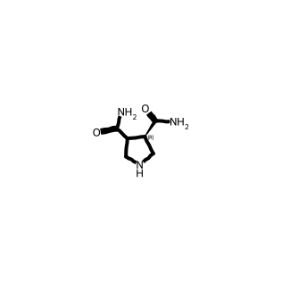 NC(=O)C1CNC[C@@H]1C(N)=O